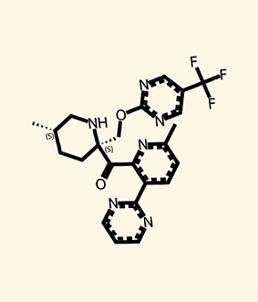 Cc1ccc(-c2ncccn2)c(C(=O)[C@@]2(COc3ncc(C(F)(F)F)cn3)CC[C@H](C)CN2)n1